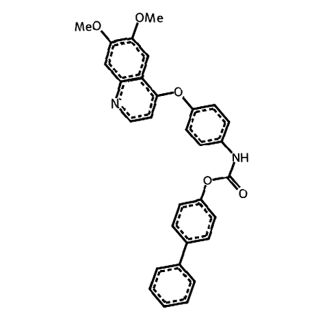 COc1cc2nccc(Oc3ccc(NC(=O)Oc4ccc(-c5ccccc5)cc4)cc3)c2cc1OC